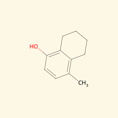 Cc1ccc(O)c2c1CCCC2